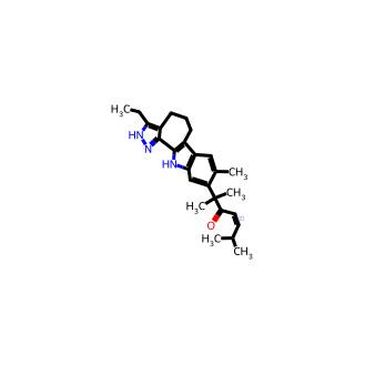 CCc1[nH]nc2c1CCCc1c-2[nH]c2cc(C(C)(C)C(=O)/C=C\C(C)C)c(C)cc12